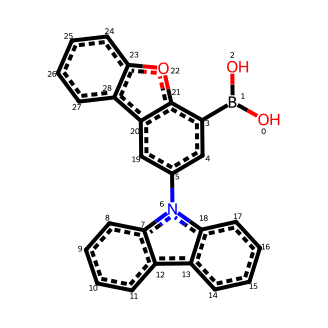 OB(O)c1cc(-n2c3ccccc3c3ccccc32)cc2c1oc1ccccc12